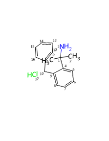 CC(C)(N)c1ccccc1Cc1ccccc1.Cl